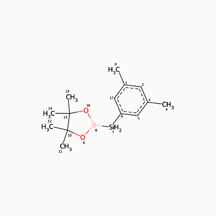 Cc1cc(C)cc([SiH2]B2OC(C)(C)C(C)(C)O2)c1